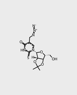 CC1(C)OC2[C@@H](CO)O[C@@H](n3cc(CN=[N+]=[N-])c(=O)[nH]c3=S)[C@H]2O1